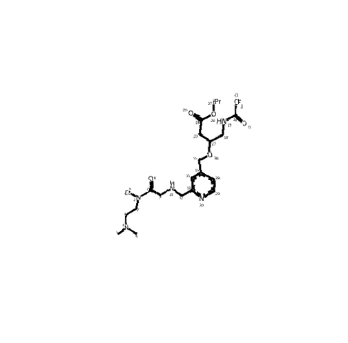 CCN(CCN(C)C)C(=O)CNCc1cc(COC(CNC(=O)C(F)(F)F)CC(=O)OC(C)C)ccn1